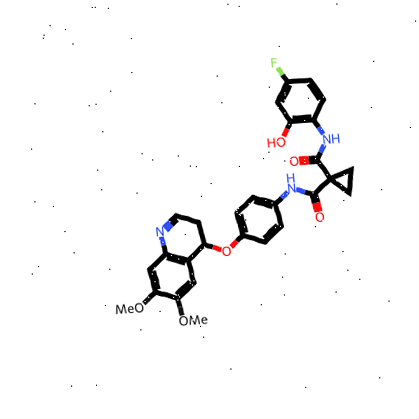 COc1cc2c(cc1OC)C(Oc1ccc(NC(=O)C3(C(=O)Nc4ccc(F)cc4O)CC3)cc1)CC=N2